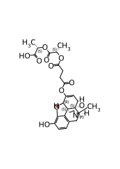 C[C@H](OC(=O)[C@H](C)OC(=O)CCC(=O)OC1=CC[C@@]2(O)[C@H]3Cc4ccc(O)c5c4[C@@]2(CCN3C)[C@H]1O5)C(=O)O